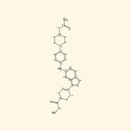 CC(C)(C)OC(=O)N1CC=C(c2ccc3cnc(Nc4ccc(C5CCN(CC(N)=O)CC5)cc4)nn23)CC1